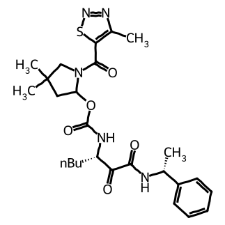 CCCC[C@H](NC(=O)OC1CC(C)(C)CN1C(=O)c1snnc1C)C(=O)C(=O)N[C@H](C)c1ccccc1